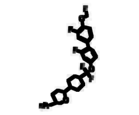 CCCC1CCC(C2CCC(C(F)(F)Oc3ccc(-c4ccc(OCF)c(F)c4)c(F)c3)CC2)OC1